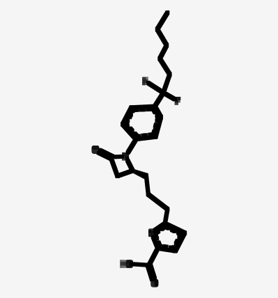 CCCCCC(F)(F)c1ccc(N2C(=O)C[C@@H]2CCCc2ccc(C(=O)O)s2)cc1